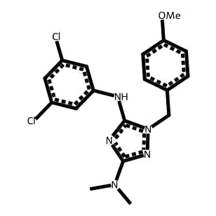 COc1ccc(Cn2nc(N(C)C)nc2Nc2cc(Cl)cc(Cl)c2)cc1